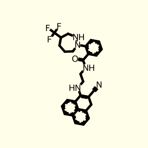 N#CC1=C(NCCNC(=O)c2ccccc2N2CCCC(C(F)(F)F)CN2)c2cccc3cccc(c23)C1